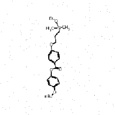 CCCCOc1ccc(OC(=O)c2ccc(OCCC[Si](C)(C)OCC)cc2)cc1